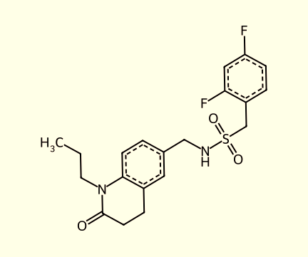 CCCN1C(=O)CCc2cc(CNS(=O)(=O)Cc3ccc(F)cc3F)ccc21